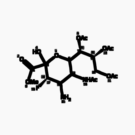 COC(=O)C1(O)OC([C@H](OC(C)=O)[C@@H](COC(C)=O)OC(C)=O)C(NC(C)=O)C(N)[C@@H]1F